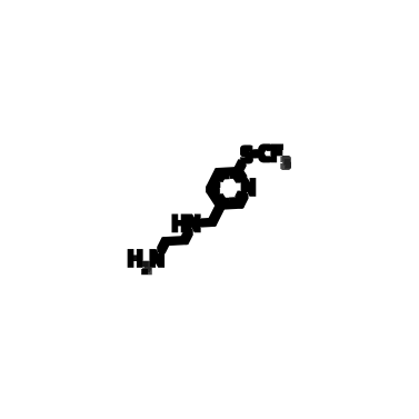 NCCNCc1ccc(SC(F)(F)F)nc1